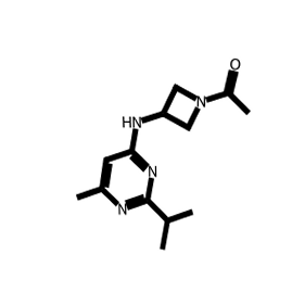 CC(=O)N1CC(Nc2cc(C)nc(C(C)C)n2)C1